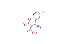 COC(=O)/C(C(=N)c1cccc(F)c1)=C(\C)O